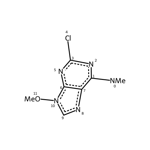 CNc1nc(Cl)nc2c1ncn2OC